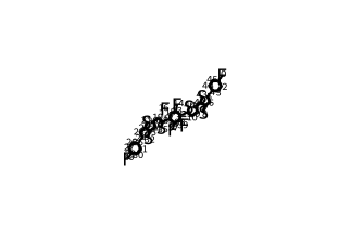 Fc1ccc(-c2cc3sc4cc(-c5c(F)c(F)c(-c6cc7sc8cc(-c9ccc(F)cc9)sc8c7s6)c(F)c5F)sc4c3s2)cc1